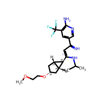 COCCO[C@H]1C[C@@H]2[C@H](C1)[C@H]2/C(=C/C(=N)c1cnc(N)c(C(F)(F)F)c1)NC(C)C